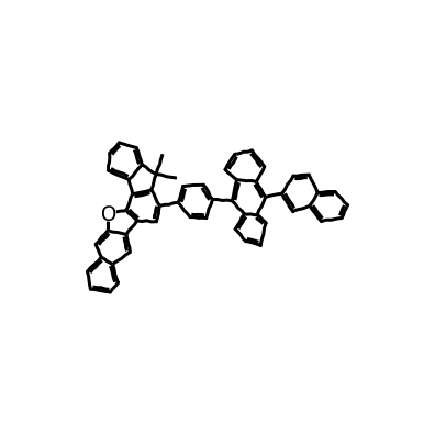 CC1(C)c2ccccc2-c2c1c(-c1ccc(-c3c4ccccc4c(-c4ccc5ccccc5c4)c4ccccc34)cc1)cc1c2oc2cc3ccccc3cc21